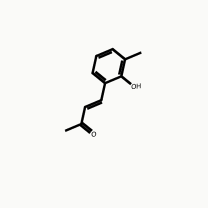 CC(=O)C=Cc1cccc(C)c1O